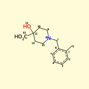 Cc1ccccc1CN1CCC(O)(C(=O)O)CC1